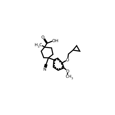 COc1ccc(C2(C#N)CCC(C)(C(=O)O)CC2)cc1OCC1CC1